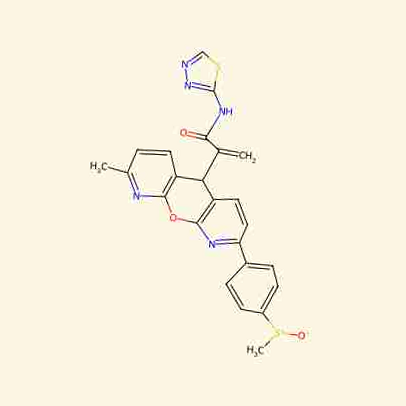 C=C(C(=O)Nc1nncs1)C1c2ccc(C)nc2Oc2nc(-c3ccc([S+](C)[O-])cc3)ccc21